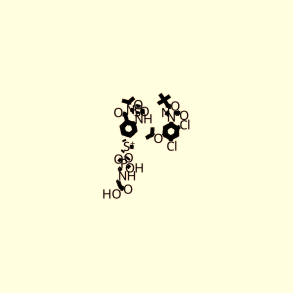 CC(C)N1C(=O)c2ccccc2NS1(=O)=O.CC(C)Oc1cc(-n2nc(C(C)(C)C)oc2=O)c(Cl)cc1Cl.C[S+](C)C.O=C(O)CNCP(=O)([O-])O